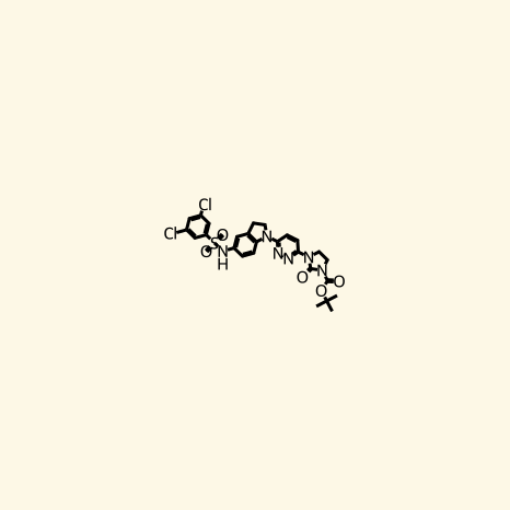 CC(C)(C)OC(=O)N1CCN(c2ccc(N3CCc4cc(NS(=O)(=O)c5cc(Cl)cc(Cl)c5)ccc43)nn2)C1=O